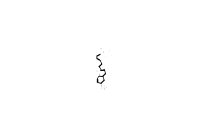 O=[N+]([O-])c1ccc2nc(/C=C/c3ccc([N+](=O)[O-])o3)ccc2c1